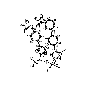 Cc1nc(C(F)(F)F)cn1-c1ccc(-c2cccc(S(C)(=O)=O)c2)cc1-c1nc(CC(C)C)oc1-c1ccc(OC(F)(F)F)cc1